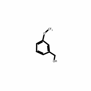 OCc1c[c]cc(OC(F)(F)F)c1